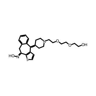 OCCOCCOCCN1CCC(=C2c3ccccc3C/C(=N\O)c3sccc32)CC1